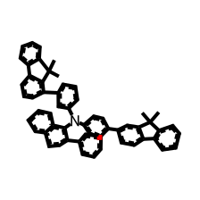 CC1(C)c2ccccc2-c2ccc(-c3ccc(N(c4cccc(-c5cccc6c5C(C)(C)c5ccccc5-6)c4)c4c(-c5ccccc5)ccc5ccccc45)cc3)cc21